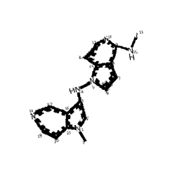 Cn1cc(Nn2ccc3c(NI)nccc32)c2cnccc21